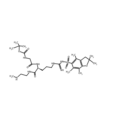 CNCCNC(=O)[C@H](CCCNC(=N)NS(=O)(=O)c1c(C)c(C)c2c(c1C)CC(C)(C)O2)NC(=O)CNC(=O)OC(C)(C)C